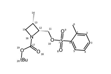 Cc1ccccc1S(=O)(=O)OC[C@H]1[C@@H](C)CN1C(=O)OC(C)(C)C